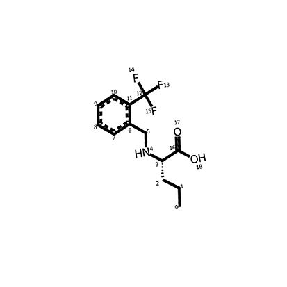 CCC[C@H](NCc1ccccc1C(F)(F)F)C(=O)O